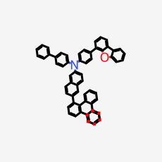 c1ccc(-c2ccc(N(c3ccc(-c4cccc5c4oc4ccccc45)cc3)c3ccc4cc(-c5cccc(-c6ccccc6)c5-c5ccccc5-c5ccccc5)ccc4c3)cc2)cc1